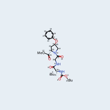 CC[C@H](C)[C@H](NC(=O)OC(C)(C)C)C(=O)NCC(=O)N1C[C@H](Oc2ccccc2)C[C@H]1C(=O)OC